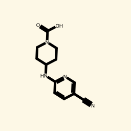 N#Cc1ccc(NC2CCN(C(=O)O)CC2)nc1